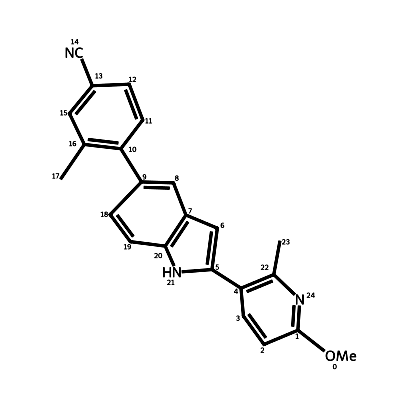 COc1ccc(-c2cc3cc(-c4ccc(C#N)cc4C)ccc3[nH]2)c(C)n1